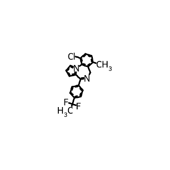 Cc1ccc(Cl)c2c1CN=C(c1ccc(C(C)(F)F)cc1)c1cccn1-2